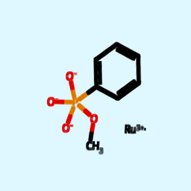 COP([O-])([O-])([O-])c1ccccc1.[Ru+3]